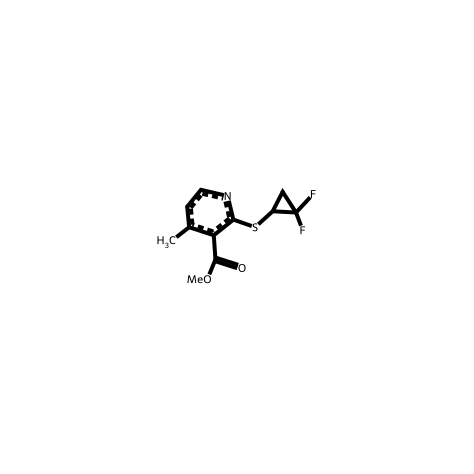 COC(=O)c1c(C)ccnc1SC1CC1(F)F